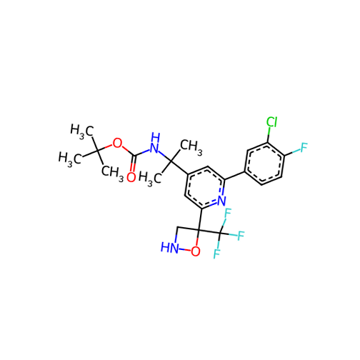 CC(C)(C)OC(=O)NC(C)(C)c1cc(-c2ccc(F)c(Cl)c2)nc(C2(C(F)(F)F)CNO2)c1